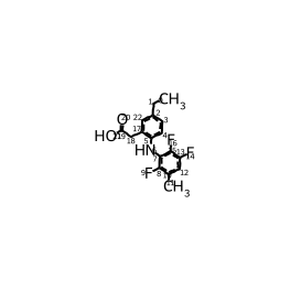 CCc1ccc(Nc2c(F)c(C)cc(F)c2F)c(CC(=O)O)c1